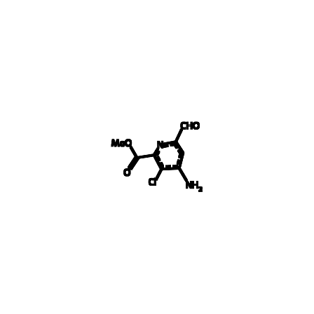 COC(=O)c1nc(C=O)cc(N)c1Cl